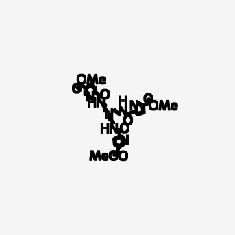 COC(=O)c1ccc(C(=O)NCCN(CCNC(=O)c2ccc(C(=O)OC)cn2)CCNC(=O)c2ccc(C(=O)OC)cn2)nc1